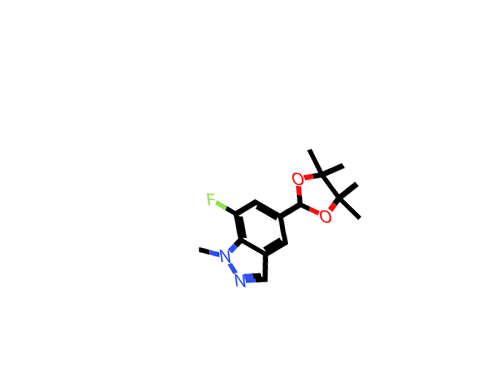 Cn1ncc2cc(C3OC(C)(C)C(C)(C)O3)cc(F)c21